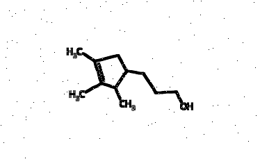 CC1=C(C)C(C)C(CCCO)C1